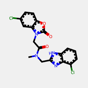 CN(Cc1nc2c(Cl)cccc2[nH]1)C(=O)Cn1c(=O)oc2ccc(Cl)cc21